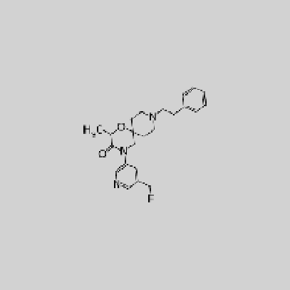 CC1OC2(CCN(CCc3ccccc3)CC2)CN(c2cncc(CF)c2)C1=O